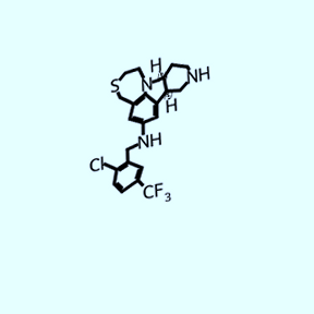 FC(F)(F)c1ccc(Cl)c(CNc2cc3c4c(c2)[C@@H]2CNCC[C@@H]2N4CCSC3)c1